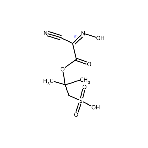 CC(C)(CS(=O)(=O)O)OC(=O)/C(C#N)=N\O